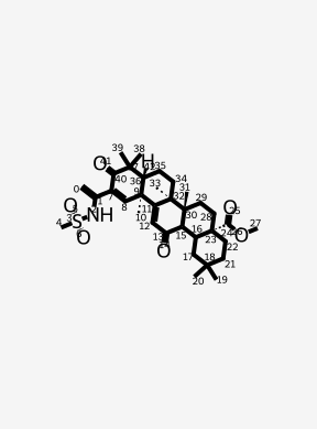 C=C(NS(C)(=O)=O)C1=C[C@]2(C)C3=CC(=O)C4C5CC(C)(C)CC[C@]5(C(=O)OC)CC[C@@]4(C)[C@]3(C)CC[C@H]2C(C)(C)C1=O